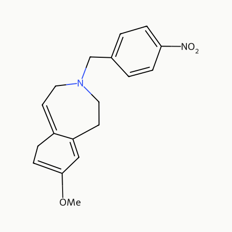 COC1=CCC2=CCN(Cc3ccc([N+](=O)[O-])cc3)CCC2=C1